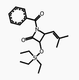 CC[Si](CC)(CC)OC1C(=O)N(C(=O)c2ccccc2)C1C=C(C)C